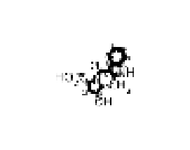 Cc1[nH]c2ccccc2c1C(=O)N1C[C@H](O)C[C@H]1C(=O)O